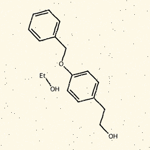 CCO.OCCc1ccc(OCc2ccccc2)cc1